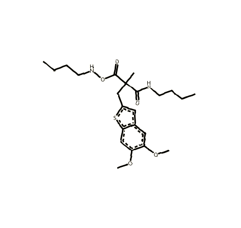 CCCCNOC(=O)C(C)(Cc1cc2cc(OC)c(OC)cc2s1)C(=O)NCCCC